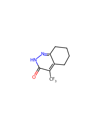 O=c1[nH]nc2c(c1C(F)(F)F)CCCC2